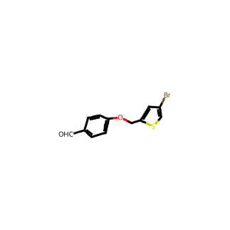 O=Cc1ccc(OCc2cc(Br)cs2)cc1